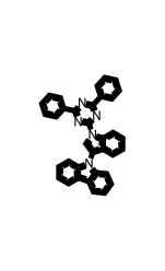 c1ccc(-c2nc(-c3ccccc3)nc(-n3cc(-n4c5ccccc5c5ccccc54)c4ccccc43)n2)cc1